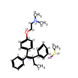 CC/C(=C(\c1ccccc1)c1ccc(OCCN(C)C)cc1)c1ccccc1.CSI